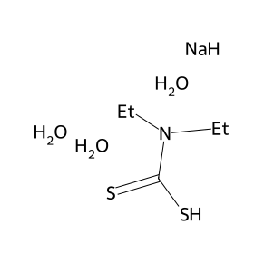 CCN(CC)C(=S)S.O.O.O.[NaH]